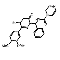 CCC1CC(=O)N(C(NC(=O)N2C=CN=CC2)c2ccccc2)N=C1c1ccc(OC)c(OC)c1